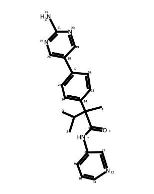 CC(C)C(C)(C(=O)Nc1cccnc1)c1ccc(-c2cnc(N)nc2)cc1